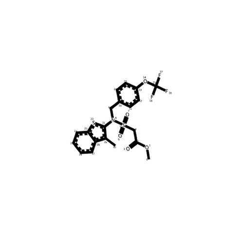 COC(=O)CS(=O)(=O)N(Cc1ccc(OC(F)(F)F)cc1)c1sc2ccccc2c1C